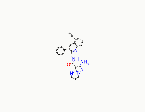 C#Cc1cccc2nc([C@@H](C)NC(=O)c3c(N)nn4cccnc34)c(-c3ccccc3)cc12